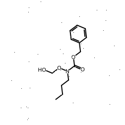 CCCCN(OCO)C(=O)OCc1ccccc1